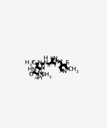 Cc1nccc(Cn2cc(CNc3nc(C)c4c(n3)N(C)C(C(C)C)C(=O)N4)cn2)c1F